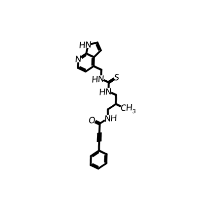 CC(CNC(=O)C#Cc1ccccc1)CNC(=S)NCc1ccnc2[nH]ccc12